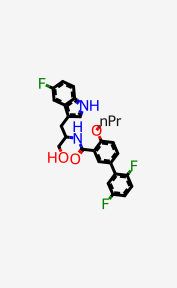 CCCOc1ccc(-c2cc(F)ccc2F)cc1C(=O)NC(CO)Cc1c[nH]c2ccc(F)cc12